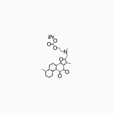 Cc1c(CN(C)CCOC(=O)OC(C)C)oc2c1C(=O)C(=O)c1c-2ccc2c(C)cccc12